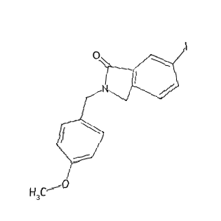 COc1ccc(CN2Cc3ccc(I)cc3C2=O)cc1